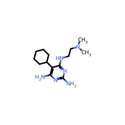 CN(C)CCNc1nc(N)nc(N)c1C1CCCCC1